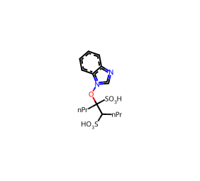 CCCC(C(CCC)(On1cnc2ccccc21)S(=O)(=O)O)S(=O)(=O)O